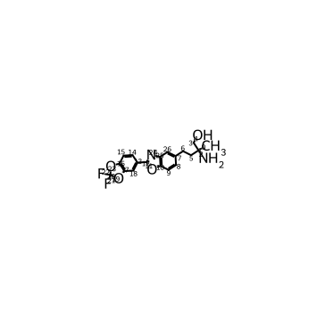 C[C@](N)(CO)CCc1ccc2oc(-c3ccc4c(c3)OC(F)(F)O4)nc2c1